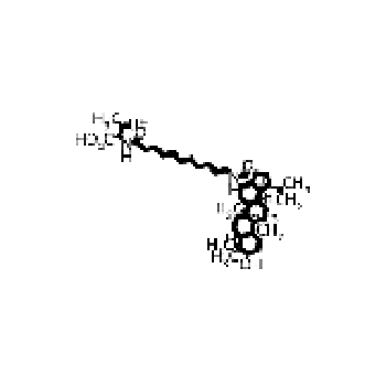 C=C(C)[C@@H]1CC[C@]2(C(=O)NCCCCCCCCCCC(=O)N[C@H](C(=O)O)[C@@H](C)O)CC[C@]3(C)[C@H](CCC4[C@@]5(C)CC[C@H](O)C(C)(C)[C@@H]5CC[C@]43C)[C@@H]12